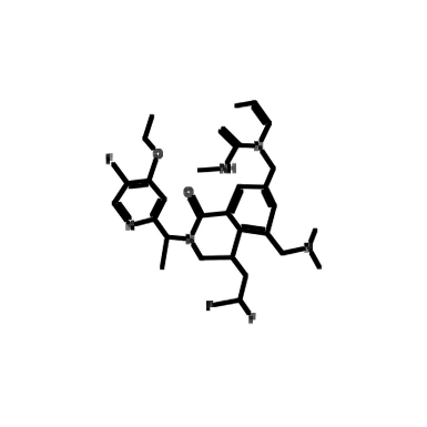 C=C(NC)N(/C=C\C)Cc1cc(CN(C)C)c2c(c1)C(=O)N(C(C)c1cc(OCC)c(F)cn1)CC2CC(F)F